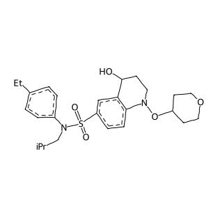 CCc1ccc(N(CC(C)C)S(=O)(=O)c2ccc3c(c2)C(O)CCN3OC2CCOCC2)cc1